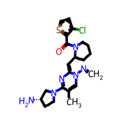 C=NN1C=C(C)C(N2CC[C@H](N)C2)=N/C1=C/C1CCCCN1C(=O)c1sccc1Cl